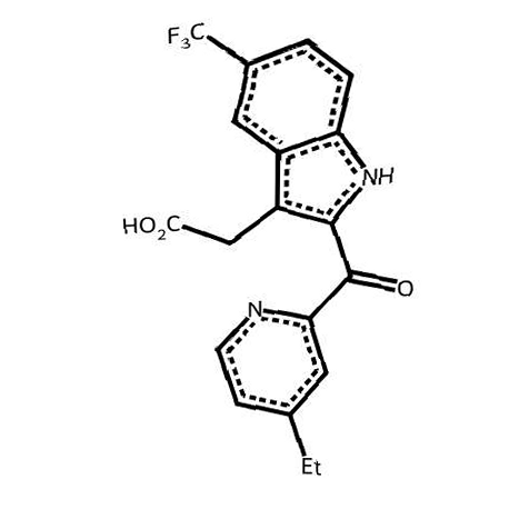 CCc1ccnc(C(=O)c2[nH]c3ccc(C(F)(F)F)cc3c2CC(=O)O)c1